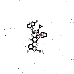 Nc1nc2c(-c3c(Cl)cc4c(N5CC6CCC(C5)N6C(=O)[C@H]5N[C@H]5C5CC5)nc(OC[C@@]56CCCN5C[C@H](F)C6)nc4c3F)ccc(F)c2s1